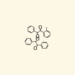 Cc1ccccc1C(=O)C(=O)c1ccccc1.O=C(C(=O)c1ccccc1)c1ccccc1